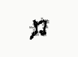 COc1cc2c(cc1OCCCOc1cc3c(cc1OC)C(=O)N1CC4(CC4)C[C@H]1C(O)N3C(=O)OCc1ccc(NC(=O)[C@H](C)NC(=O)[C@@H](NC(=O)CNC(=O)CNC(=O)CCC(=O)N3Cc4ccccc4-c4nnn(C(C)C)c4-c4ccccc43)C(C)C)cc1)NC[C@@H]1CC(c3ccc(N(C)C)cc3)=CN1C2O